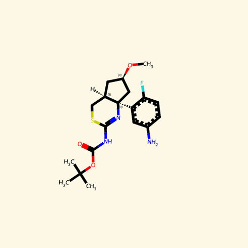 CO[C@@H]1C[C@@H]2CSC(NC(=O)OC(C)(C)C)=N[C@]2(c2cc(N)ccc2F)C1